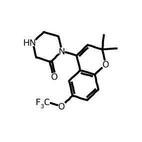 CC1(C)C=C(N2CCNCC2=O)c2cc(OC(F)(F)F)ccc2O1